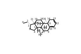 CC[C@H]1CC[C@H]2[C@@H]3[C@H](F)CC4=CC=CC[C@]4(C)[C@H]3CC[C@]12C